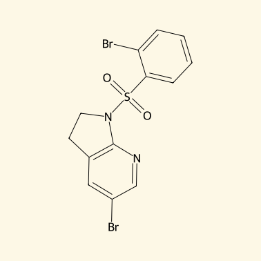 O=S(=O)(c1ccccc1Br)N1CCc2cc(Br)cnc21